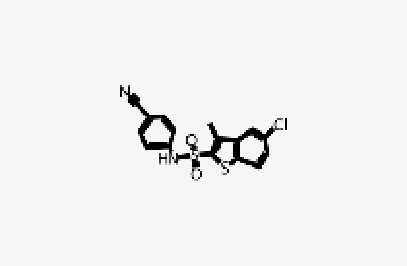 Cc1c(S(=O)(=O)Nc2ccc(C#N)cc2)sc2ccc(Cl)cc12